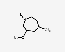 CCOC1CN(C)CCN(I)C1